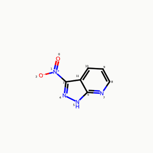 O=[N+]([O-])c1n[nH]c2ncccc12